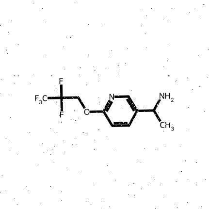 CC(N)c1ccc(OCC(F)(F)C(F)(F)F)nc1